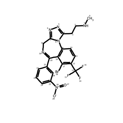 CNCCc1nnc2n1-c1ccc(C(F)(F)F)c(Br)c1C(c1cccc([N+](=O)[O-])c1)=NC2